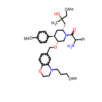 COCCCN1CCOc2ccc(CO[C@H]3CN(C(=O)C(N)C(C)C)[C@@H](C[C@](C)(O)COC)C[C@@H]3c3ccc(OC)cc3)cc21